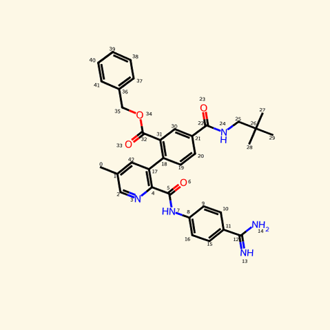 Cc1cnc(C(=O)Nc2ccc(C(=N)N)cc2)c(-c2ccc(C(=O)NCC(C)(C)C)cc2C(=O)OCc2ccccc2)c1